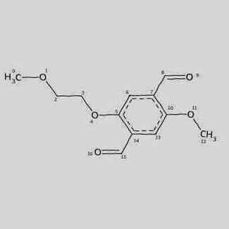 COCCOc1cc(C=O)c(OC)cc1C=O